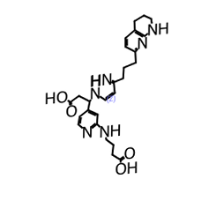 N=C(/C=C\NC(CC(=O)O)c1ccnc(NCCCC(=O)O)c1)CCCc1ccc2c(n1)NCCC2